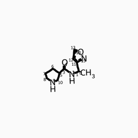 C[C@@H](NC(=O)C1CCCNC1)c1ccon1